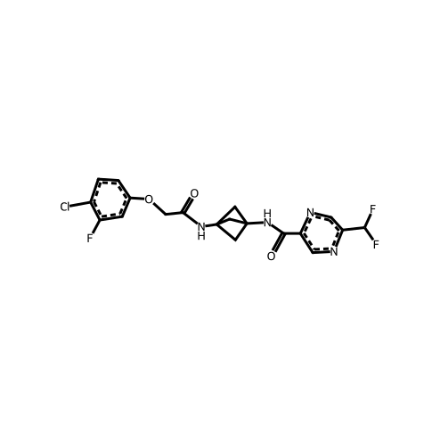 O=C(COc1ccc(Cl)c(F)c1)NC12CC(NC(=O)c3cnc(C(F)F)cn3)(C1)C2